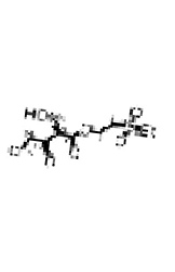 CCS(=O)(=O)CCOC(=O)C(=NO)C(=O)CCl